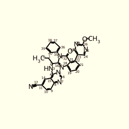 CCC(Nc1ncnc2ccc(C#N)cc12)c1nc2cccc(-c3cnc(OC)nc3)c2c(=O)n1-c1ccccc1